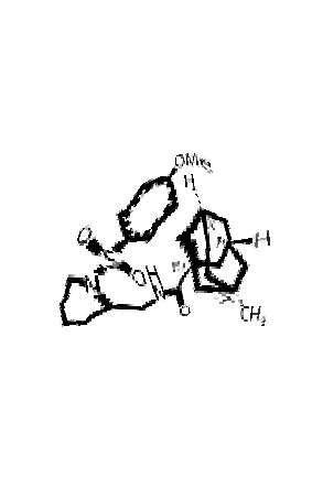 COc1ccc(S(=O)(=O)N2CCCCC2CNC(=O)[C@@]23C[C@@H]4C[C@@H](C[C@@](C)(C4)C2)C3)cc1